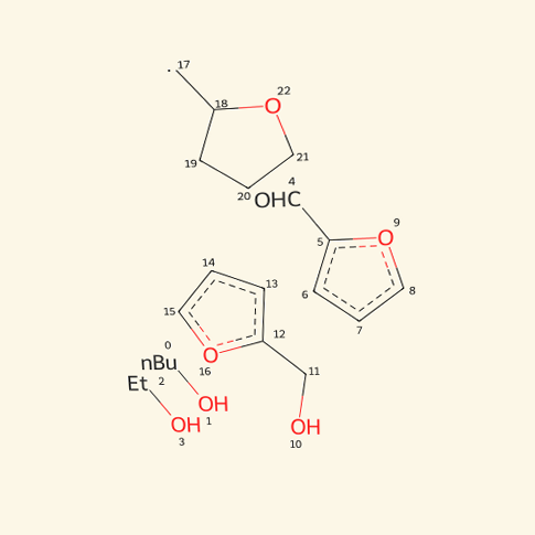 CCCCO.CCO.O=Cc1ccco1.OCc1ccco1.[CH2]C1CCCO1